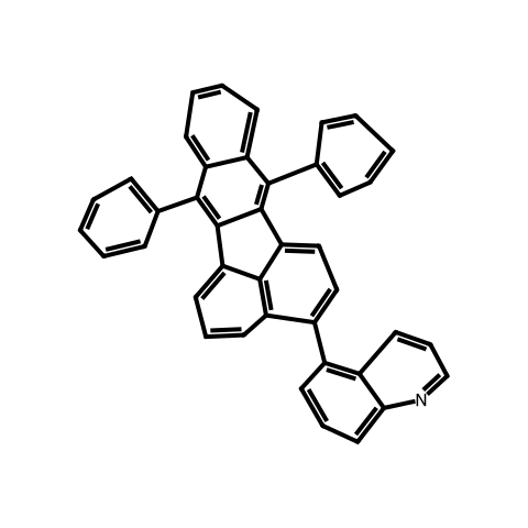 c1ccc(-c2c3c(c(-c4ccccc4)c4ccccc24)-c2ccc(-c4cccc5ncccc45)c4cccc-3c24)cc1